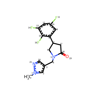 Cn1cc(CN2CC(c3cc(F)cc(F)c3F)CC2=O)cn1